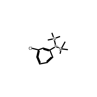 C[Si](C)(C)N(C1=CC(Cl)=C=CC=C1)[Si](C)(C)C